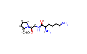 NCCCCC(N)C(=O)NCC(=O)N1CCCC1[C]=O